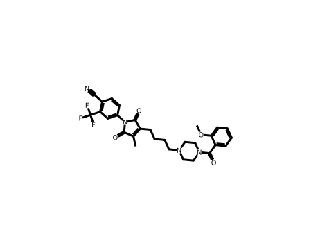 COc1ccccc1C(=O)N1CCN(CCCCC2=C(C)C(=O)N(c3ccc(C#N)c(C(F)(F)F)c3)C2=O)CC1